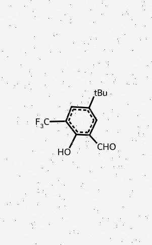 CC(C)(C)c1cc(C=O)c(O)c(C(F)(F)F)c1